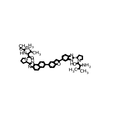 COC(=O)N[C@H](C(=O)N1CCCC1c1nc2ccc3cc(-c4ccc5oc(-c6ccc7nc([C@@H]8CCCN8C(=O)[C@@H](N)C(C)C)[nH]c7c6)cc5c4)ccc3c2[nH]1)C(C)C